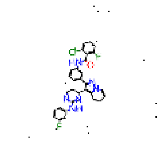 O=C(Nc1cccc(-c2nn3c(c2C2CC=NC(Nc4cccc(F)c4)=N2)CCC=C3)c1)c1c(F)cccc1Cl